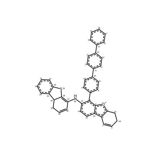 C1=Cc2c(oc3c(-c4ccc(-c5ccc(-c6ccccc6)cc5)cc4)c(NC4=C5Sc6ccccc6C5CC=C4)ccc23)CC1